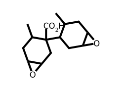 CC1CC2OC2CC1C1(C(=O)O)CC2OC2CC1C